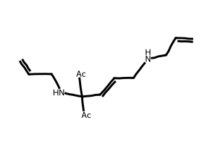 C=CCNCC=CC(NCC=C)(C(C)=O)C(C)=O